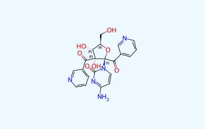 Nc1ccn([C@]2(C(=O)c3cccnc3)O[C@H](CO)[C@@H](O)[C@]2(O)C(=O)c2cccnc2)c(=O)n1